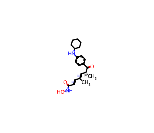 CC(/C=C/C(=O)NO)=C\[C@@H](C)C(=O)c1ccc(NC2CCCCC2)cc1